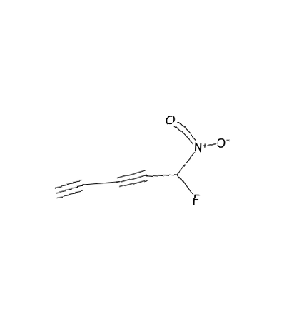 C#CC#CC(F)[N+](=O)[O-]